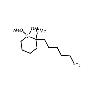 COC1(CCCCCN)CCCC[Si]1(OC)OC